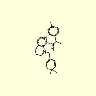 Cc1ccc(C(C)Nc2nccc3c2N(CC2=CCC(C)(C)C=C2)CCC3)cc1